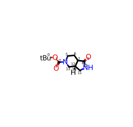 CC(C)(C)OC(=O)N1CCC2C(=O)NC[C@@H]2C1